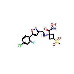 CS(=O)(=O)C1CC(NCc2cc(-c3ccc(Cl)cc3F)on2)(C(=O)NO)C1